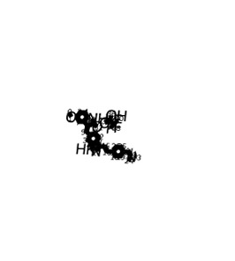 COc1ccc2c(c1)C(=Cc1ccc3c(C=Cc4ccc(CN(C)C)cc4)n[nH]c3c1)C(=O)N2.O=C(O)C(F)(F)F